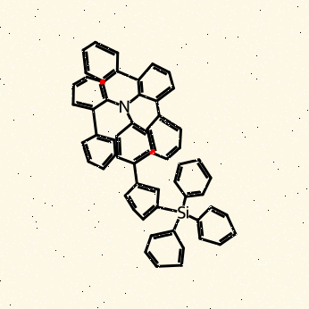 c1ccc(-c2ccccc2N(c2ccc(-c3cccc([Si](c4ccccc4)(c4ccccc4)c4ccccc4)c3)cc2)c2c(-c3ccccc3)cccc2-c2ccccc2)cc1